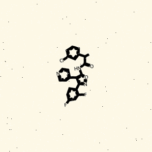 CC(C(=O)Nc1onc(-c2ccc(F)cc2F)c1-c1ccncc1)c1cccc(Cl)c1